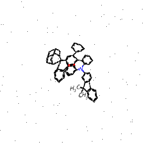 CC1(C)c2ccccc2-c2ccc(N(c3ccccc3)c3ccccc3-c3cc4c(cc3-c3ccccc3)C3(c5ccccc5-4)C4CC5CC(C4)CC3C5)cc21